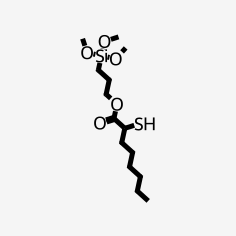 CCCCCCC(S)C(=O)OCCC[Si](OC)(OC)OC